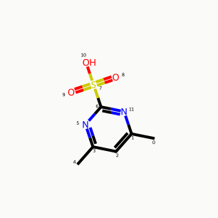 Cc1cc(C)nc(S(=O)(=O)O)n1